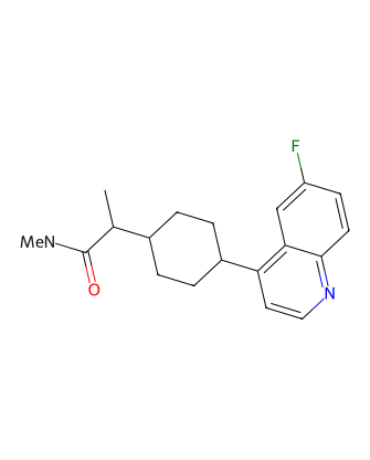 CNC(=O)C(C)C1CCC(c2ccnc3ccc(F)cc23)CC1